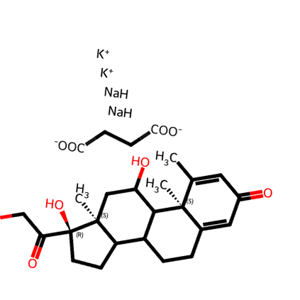 CC1=CC(=O)C=C2CCC3C(C(O)C[C@@]4(C)C3CC[C@]4(O)C(=O)CO)[C@@]12C.O=C([O-])CCC(=O)[O-].[K+].[K+].[NaH].[NaH]